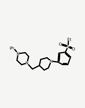 CCS(=O)(=O)c1cccc(N2CCC(CN3CCN(C(C)C)CC3)CC2)c1